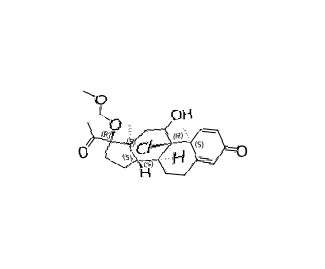 COCO[C@]1(C(C)=O)CC[C@H]2[C@@H]3CCC4=CC(=O)C=C[C@]4(C)[C@@]3(Cl)C(O)C[C@@]21C